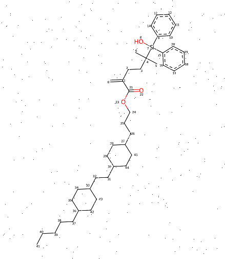 C=C(CCC(C)(C)[Si](O)(c1ccccc1)c1ccccc1)C(=O)OCCCC1CCC(CCC2CCC(CCCCC)CC2)CC1